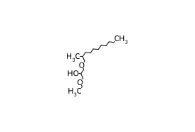 CCCCCCCCCC(C)COCC(O)COCC